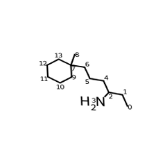 CCC(N)CCCC1(C)CCCCC1